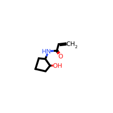 C=CC(=O)NC1CCCC1O